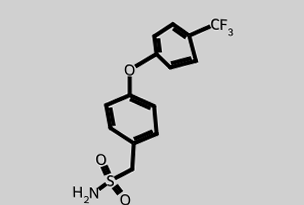 NS(=O)(=O)Cc1ccc(Oc2ccc(C(F)(F)F)cc2)cc1